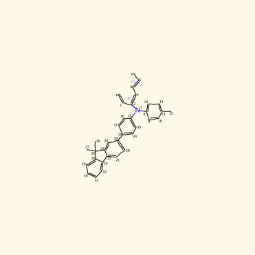 C=C/C(=C\C=C\C)N(c1ccc(C)cc1)c1ccc(-c2ccc3c(c2)C(C)(C)c2ccccc2-3)cc1